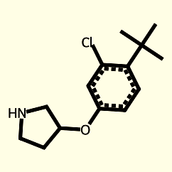 CC(C)(C)c1ccc(OC2CCNC2)cc1Cl